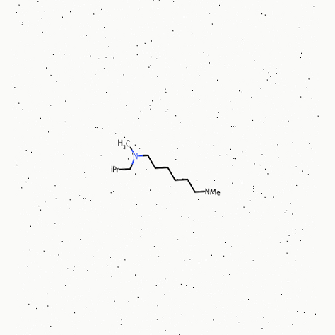 CNCCCCCCN(C)CC(C)C